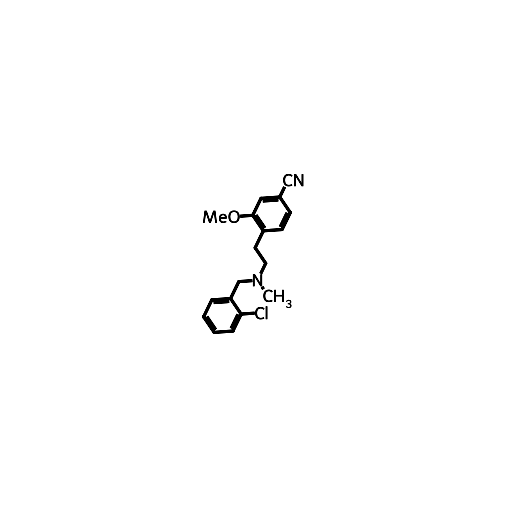 COc1cc(C#N)ccc1CCN(C)Cc1ccccc1Cl